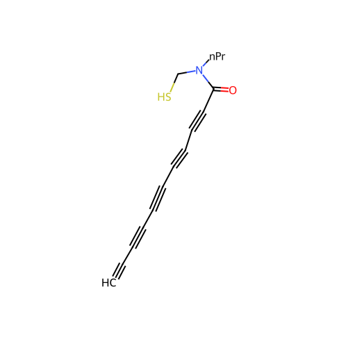 C#CC#CC#CC#CC#CC(=O)N(CS)CCC